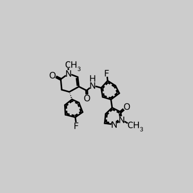 CN1C=C(C(=O)Nc2cc(-c3ccnn(C)c3=O)ccc2F)[C@H](c2ccc(F)cc2)CC1=O